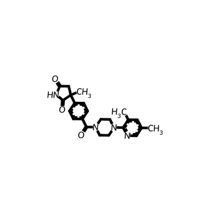 Cc1cnc(N2CCN(C(=O)c3ccc(C4(C)CC(=O)NC4=O)cc3)CC2)c(C)c1